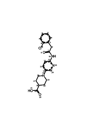 O=C(Cc1ccccc1Cl)Nc1ccc(N2CCC(C(=O)O)CC2)nn1